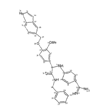 COc1cc(C(Nc2ccc(C(=N)N)cc2)C(=O)NCc2ccccc2)ccc1OCc1ccc2[nH]ccc2c1